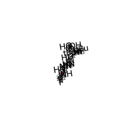 CC(C)(C)C(COP(=O)(O)O)(N(CCCOc1ccc2c(Nc3cc(CC(=O)Nc4cccc(F)c4)[nH]n3)ncnc2c1)C1CCCC1)C(C)(C)C